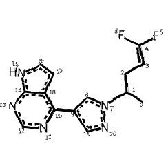 CC(CC=C(F)F)n1cc(-c2ncnc3[nH]ccc23)cn1